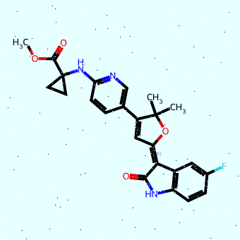 COC(=O)C1(Nc2ccc(C3=C/C(=C4\C(=O)Nc5ccc(F)cc54)OC3(C)C)cn2)CC1